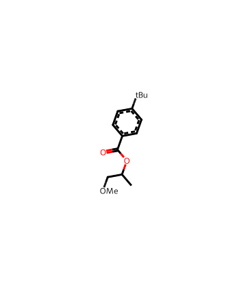 COCC(C)OC(=O)c1ccc(C(C)(C)C)cc1